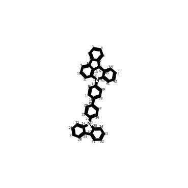 CC12c3ccccc3-c3cccc(c31)N(c1ccc(-c3ccc(-n4c5ccccc5c5ccccc54)cc3)cc1)c1ccccc12